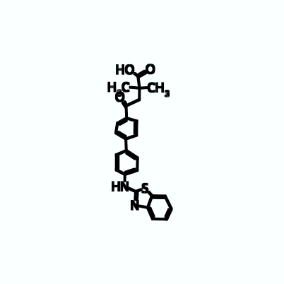 CC(C)(CC(=O)c1ccc(-c2ccc(Nc3nc4ccccc4s3)cc2)cc1)C(=O)O